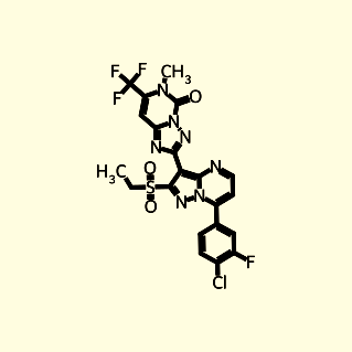 CCS(=O)(=O)c1nn2c(-c3ccc(Cl)c(F)c3)ccnc2c1-c1nc2cc(C(F)(F)F)n(C)c(=O)n2n1